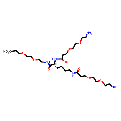 NCCOCCOCCC(=O)NCCCC[C@@H](NC(O)CCOCCOCCN)C(=O)NCCOCCOCCC(=O)O